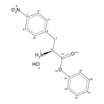 Cl.N[C@@H](Cc1ccc([N+](=O)[O-])cc1)C(=O)Oc1ccccc1